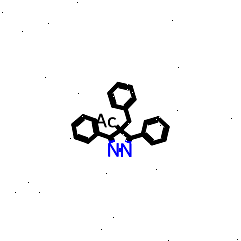 CC(=O)C1(Cc2ccccc2)C(c2ccccc2)=NN=C1c1ccccc1